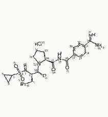 CC(C)C[C@@H](NS(=O)(=O)C1CC1)C(=O)N1CCC[C@H]1C(=O)NC(=O)c1ccc(C(=N)N)cc1.Cl